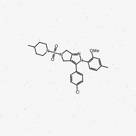 COc1cc(C)ccc1-n1nc2c(c1-c1ccc(Cl)cc1)CN(S(=O)(=O)N1CCC(C)CC1)C2